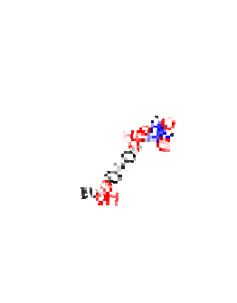 C=CCn1c(=O)n(C)c(=O)n(CC(O)COc2ccc(C(C)(C)c3ccc(OCC(O)CC)cc3)cc2)c1=O